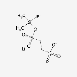 CC(C)[Si](C)(C)OS(=O)(=O)CCS(=O)(=O)[O-].[Li+]